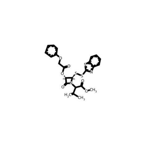 C=C(C)C(C(=O)OC)N1C(=O)[C@H](OC(=O)COc2ccccc2)[C@H]1SSc1nc2ccccc2s1